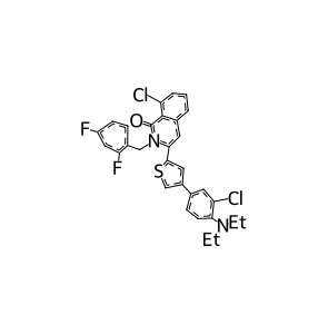 CCN(CC)c1ccc(-c2csc(-c3cc4cccc(Cl)c4c(=O)n3Cc3ccc(F)cc3F)c2)cc1Cl